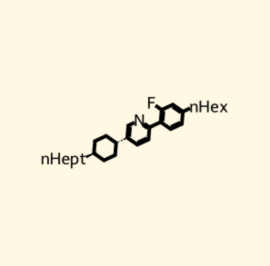 CCCCCCC[C@H]1CC[C@H](c2ccc(-c3ccc(CCCCCC)cc3F)nc2)CC1